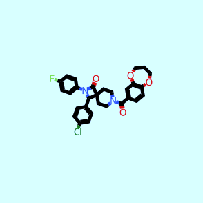 O=C(c1ccc2c(c1)OCCCO2)N1CCC2(CC1)C(=O)N(c1ccc(F)cc1)C2c1ccc(Cl)cc1